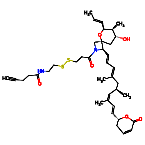 C#CCCC(=O)NCCSSCCC(=O)N1C[C@]2(C[C@@H](O)[C@H](C)[C@H](/C=C/C)O2)[C@H]1/C=C/C=C(\C)C[C@@H](C)/C=C(C)\C=C\[C@H]1CC=CC(=O)O1